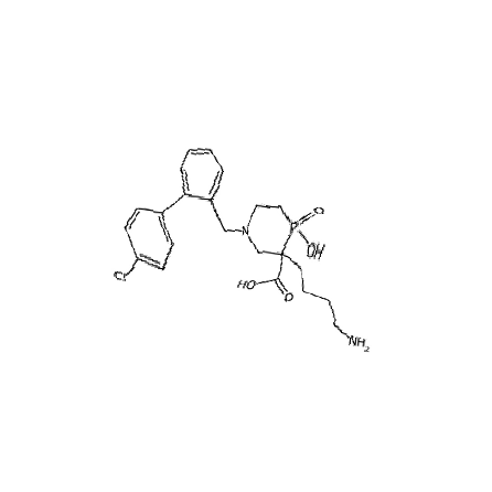 NCCCCC1(C(=O)O)CN(Cc2ccccc2-c2ccc(Cl)cc2)CCP1(=O)O